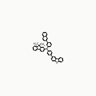 CC1(C)c2ccccc2-c2ccc(N(c3ccc(-c4ccc5sc6ccccc6c5c4)cc3)c3cccc(-c4ccc5ccccc5c4)c3)cc21